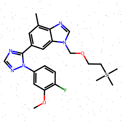 COc1cc(-n2ncnc2-c2cc(C)c3ncn(COCC[Si](C)(C)C)c3c2)ccc1F